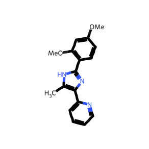 COc1ccc(-c2nc(-c3ccccn3)c(C)[nH]2)c(OC)c1